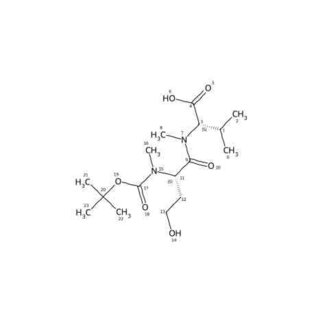 CC(C)[C@@H](C(=O)O)N(C)C(=O)[C@H](CCO)N(C)C(=O)OC(C)(C)C